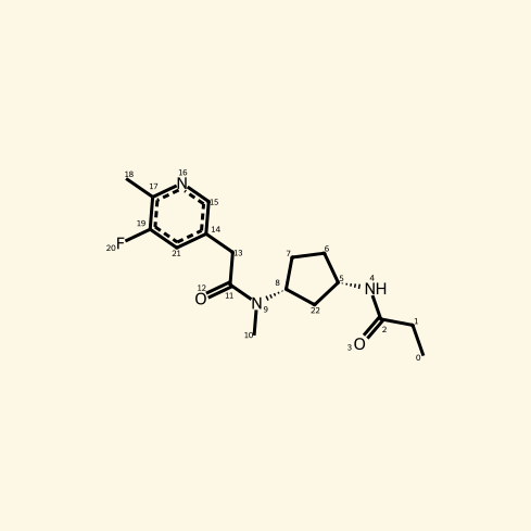 CCC(=O)N[C@H]1CC[C@@H](N(C)C(=O)Cc2cnc(C)c(F)c2)C1